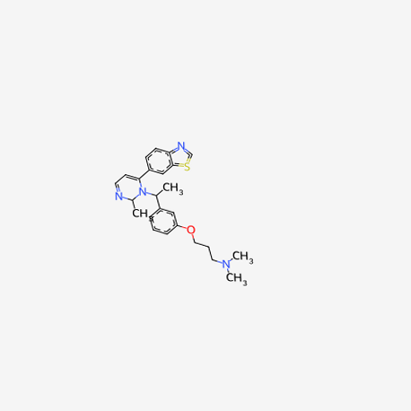 CC1N=CC=C(c2ccc3ncsc3c2)N1C(C)c1cccc(OCCCN(C)C)c1